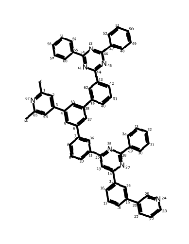 Cc1cc(-c2cc(-c3cccc(-c4cc(-c5cccc(-c6cccnc6)c5)nc(-c5ccccc5)n4)c3)cc(-c3cccc(-c4nc(-c5ccccc5)nc(-c5ccccc5)n4)c3)c2)cc(C)n1